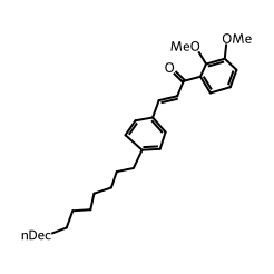 CCCCCCCCCCCCCCCCCc1ccc(C=CC(=O)c2cccc(OC)c2OC)cc1